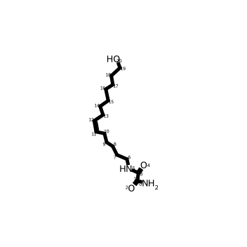 NC(=O)C(=O)NCCCCC/C=C\CCCCCCCO